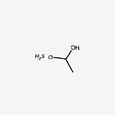 CC(O)Cl.S